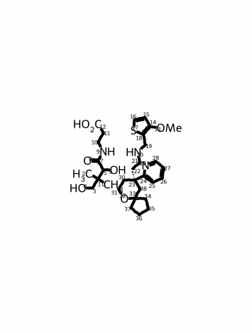 CC(C)(CO)C(O)C(=O)NCCC(=O)O.COc1ccsc1CNCC[C@@]1(c2ccccn2)CCOC2(CCCC2)C1